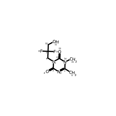 Cc1nc(=O)n(CC(F)(F)CO)c(=O)n1C